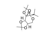 CC(C)[C@@]12OC[C@H]3OC(C)(C)O[C@H]3[C@@H]1OC(C)(C)O2